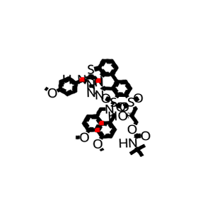 COc1ccc(CN(Cc2ccc(OC)cc2)S(=O)(=O)c2c(S(=O)(=O)C[C@@H](O)COC(=O)NC(C)(C)C)ccc(-c3cccc4sc(N)nc34)c2-c2nnn(Cc3ccc(OC)cc3)n2)cc1